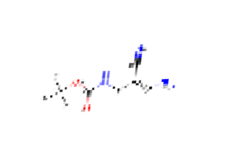 CC(C)(C)OC(=O)NCC(C#N)=CN